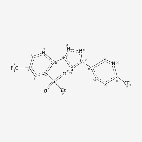 CCS(=O)(=O)c1cc(C(F)(F)F)cnc1-c1nnc(-c2ccc(C(F)(F)F)nc2)s1